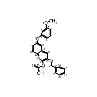 COc1cccc(Oc2ccc3nc(OC(=O)O)c(OCc4ccccc4)cc3c2)c1